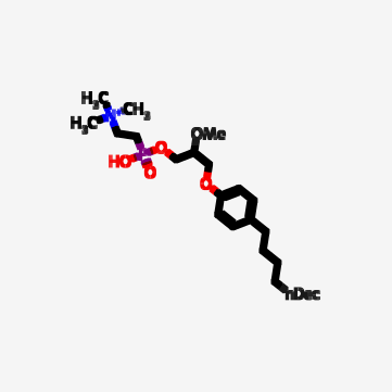 CCCCCCCCCCCCCCc1ccc(OCC(COP(=O)(O)CC[N+](C)(C)C)OC)cc1